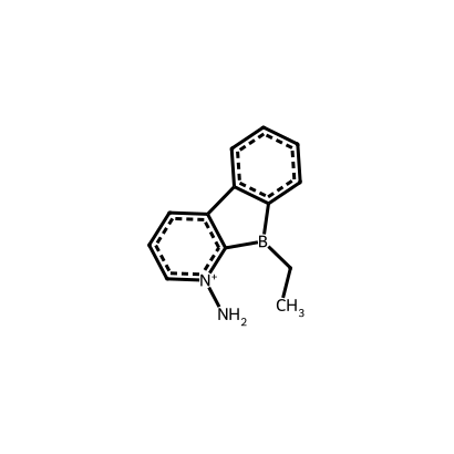 CCB1c2ccccc2-c2ccc[n+](N)c21